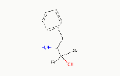 CC(C)C(O)(C(C)C)C(N)Cc1ccccc1